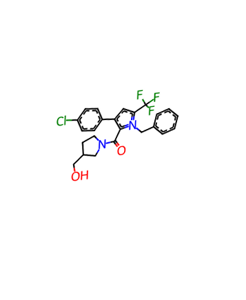 O=C(c1c(-c2ccc(Cl)cc2)cc(C(F)(F)F)n1Cc1ccccc1)N1CCC(CO)C1